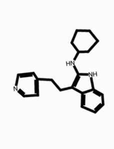 c1ccc2c(CCc3ccncc3)c(NC3CCCCC3)[nH]c2c1